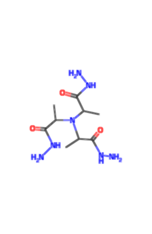 CC(C(=O)NN)N(C(C)C(=O)NN)C(C)C(=O)NN